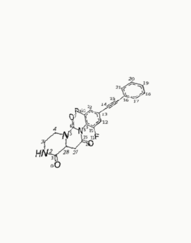 O=C1NCCN2C(=O)N(c3c(F)cc(C#Cc4ccccc4)cc3F)C(=O)CC12